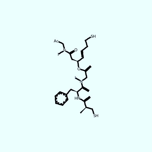 C=C(CN(I)C(=C)[C@H](Cc1ccccc1)NC(=C)[C@H](C)CS)O[C@H](/C=C/CCS)CC(=O)N(I)CC(C)=O